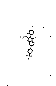 CCc1nc2cc(-c3ccc(C(F)(F)F)cc3)cnn2c(=O)c1-c1ccc(F)cc1F